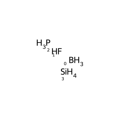 B.F.P.[SiH4]